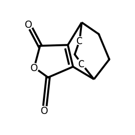 O=C1OC(=O)C2=C1C1CCCC2CC1